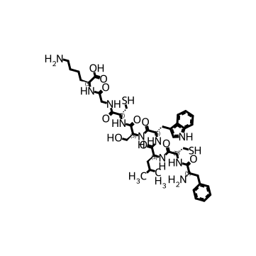 CC(C)C[C@H](NC(=O)[C@H](CS)NC(=O)[C@@H](N)Cc1ccccc1)C(=O)N[C@@H](Cc1c[nH]c2ccccc12)C(=O)N[C@@H](CO)C(=O)N[C@@H](CS)C(=O)NCC(=O)N[C@@H](CCCCN)C(=O)O